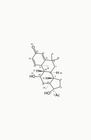 CC(=O)[C@@]1(O)CC[C@H]2[C@@H]3CC(C)(C)C4=CC(=O)C=C[C@]4(C)[C@H]3C(O)C[C@@]21C